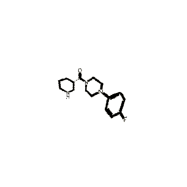 O=C([C@H]1CCCNC1)N1CCN(c2ccc(F)cc2)CC1